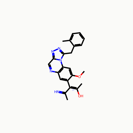 COc1cc2c(cc1/C(C(C)=N)=C(\C)O)ncc1nnc(Cc3ccccc3C)n12